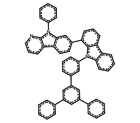 c1ccc(-c2cc(-c3ccccc3)cc(-c3cccc(-n4c5ccccc5c5cccc(-c6ccc7c8cccnc8n(-c8ccccc8)c7c6)c54)c3)c2)cc1